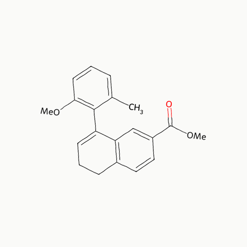 COC(=O)c1ccc2c(c1)C(c1c(C)cccc1OC)=CCC2